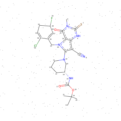 Cn1c(=S)[nH]c2c(C#N)c(N3CCC[C@@H](NC(=O)OC(C)(C)C)C3)n(CC3=CC(F)CC=C3Cl)c2c1=O